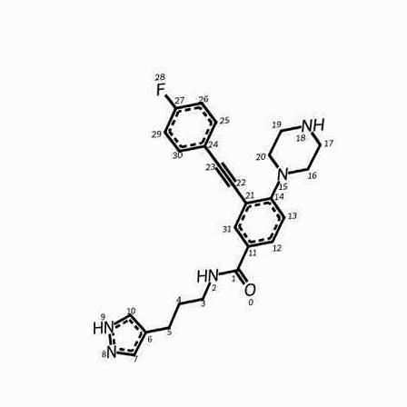 O=C(NCCCc1cn[nH]c1)c1ccc(N2CCNCC2)c(C#Cc2ccc(F)cc2)c1